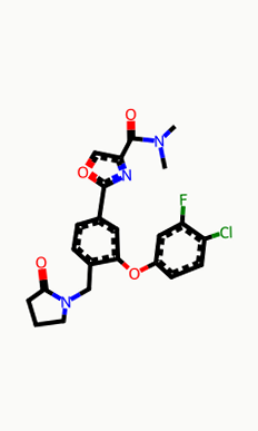 CN(C)C(=O)c1coc(-c2ccc(CN3CCCC3=O)c(Oc3ccc(Cl)c(F)c3)c2)n1